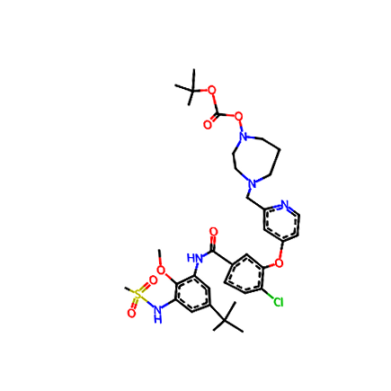 COc1c(NC(=O)c2ccc(Cl)c(Oc3ccnc(CN4CCCN(OC(=O)OC(C)(C)C)CC4)c3)c2)cc(C(C)(C)C)cc1NS(C)(=O)=O